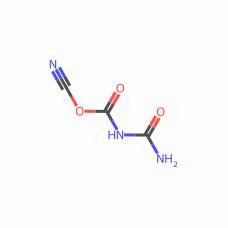 N#COC(=O)NC(N)=O